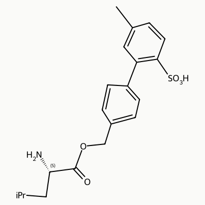 Cc1ccc(S(=O)(=O)O)c(-c2ccc(COC(=O)[C@@H](N)CC(C)C)cc2)c1